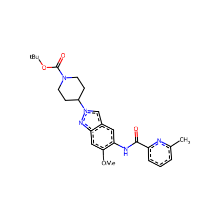 COc1cc2nn(C3CCN(C(=O)OC(C)(C)C)CC3)cc2cc1NC(=O)c1cccc(C)n1